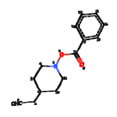 O=CCC1CCN(OC(=O)c2ccccc2)CC1